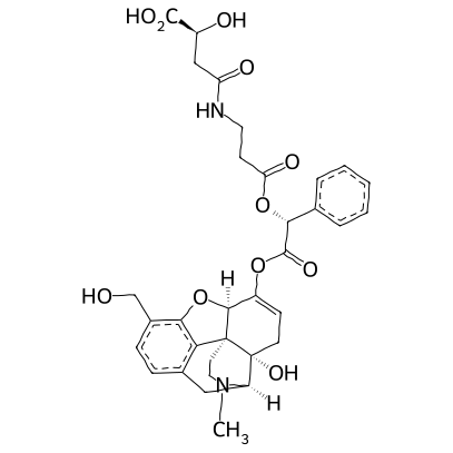 CN1CC[C@]23c4c5ccc(CO)c4O[C@H]2C(OC(=O)[C@H](OC(=O)CCNC(=O)C[C@H](O)C(=O)O)c2ccccc2)=CC[C@@]3(O)[C@H]1C5